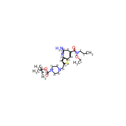 CCCN(OCC)C(=O)C1=Cc2sc(CN3CCN(C(=O)OC(C)(C)C)CC3)cc2N=C(N)C1